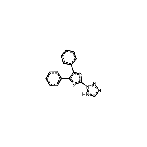 c1ccc(-c2nc(-[n+]3nnc[nH]3)sc2-c2ccccc2)cc1